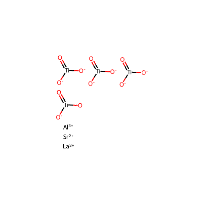 [Al+3].[La+3].[O]=[Ti]([O-])[O-].[O]=[Ti]([O-])[O-].[O]=[Ti]([O-])[O-].[O]=[Ti]([O-])[O-].[Sr+2]